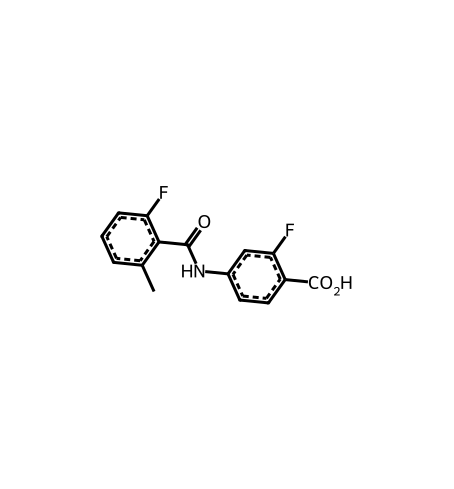 Cc1cccc(F)c1C(=O)Nc1ccc(C(=O)O)c(F)c1